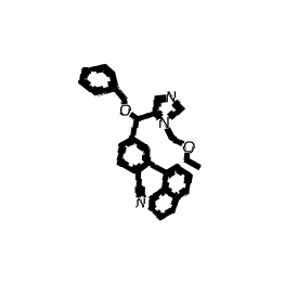 CCOCn1cncc1C(OCc1ccccc1)c1ccc(C#N)c(-c2cccc3ccccc23)c1